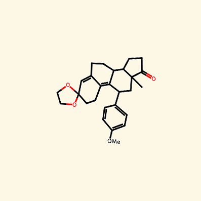 COc1ccc(C2CC3(C)C(=O)CCC3C3CCC4=CC5(CCC4=C23)OCCO5)cc1